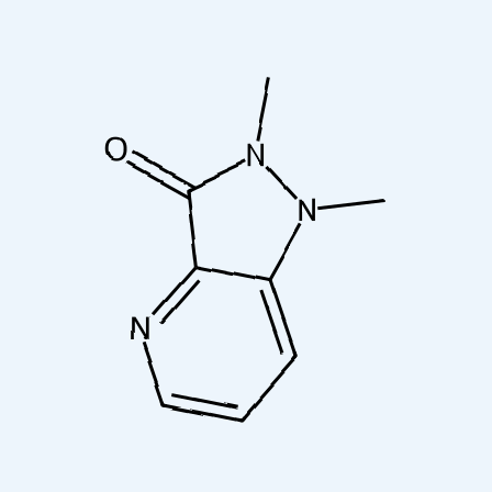 Cn1c(=O)c2ncccc2n1C